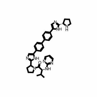 CC(C)[C@@H](Nc1ncccn1)C(=O)N1CCCC1c1ncc(-c2ccc(-c3ccc(-c4cnc([C@@H]5CCCN5)[nH]4)cc3)cc2)[nH]1